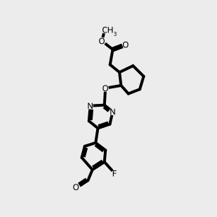 COC(=O)CC1CCCCC1Oc1ncc(-c2ccc(C=O)c(F)c2)cn1